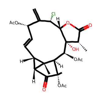 C=C1[C@@H](OC(C)=O)/C=C/[C@H]2[C@H]3C(=O)[C@@](C)(OC(C)=O)[C@H]([C@H](OC(C)=O)[C@]4(O)[C@@H](C)C(=O)O[C@H]4[C@H]1Cl)[C@]32C